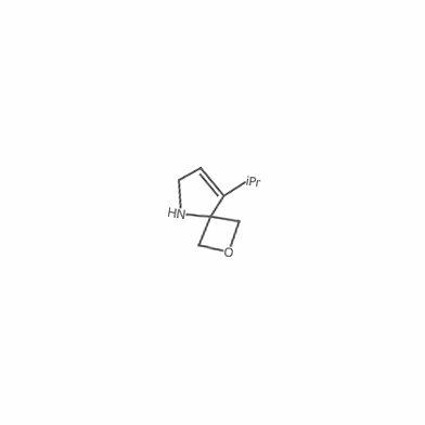 CC(C)C1=CCNC12COC2